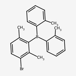 Cc1ccccc1B(c1ccccc1C)c1c(C)ccc(Br)c1C